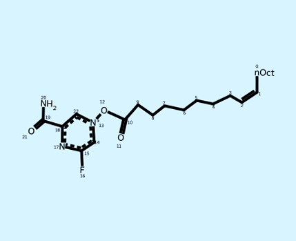 CCCCCCCC/C=C\CCCCCCCC(=O)O[n+]1cc(F)nc(C(N)=O)c1